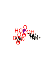 O=P([O-])(O)O.[Na+].[Na+].[Na+].[O]=[W](=[O])([O-])[O-]